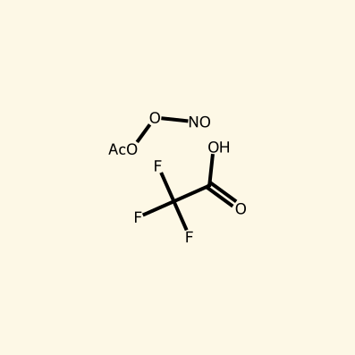 CC(=O)OON=O.O=C(O)C(F)(F)F